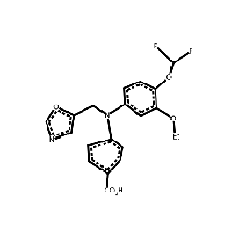 CCOc1cc(N(Cc2cnco2)c2ccc(C(=O)O)cc2)ccc1OC(F)F